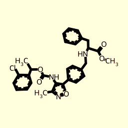 COC(=O)C(Cc1ccccc1)NCc1ccc(-c2onc(C)c2NC(=O)OC(C)c2ccccc2Cl)cc1